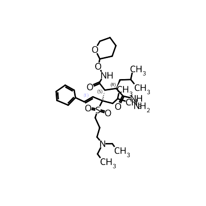 CCN(CC)CCCS(=O)(=O)C(/C=C/c1ccccc1)(CC(C)C)[C@H](C(=O)NOC1CCCCO1)[C@@H](CC(C)C)C(=O)NN